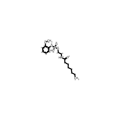 CCCCCCCC(=O)NCCOP(=O)(O)Oc1ccccc1OC